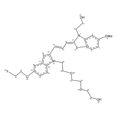 COc1ccc2c(c1)N(CCO)/C(=C/C=C/c1sc3cc(OCCF)ccc3[n+]1CCOCCOCCO)S2